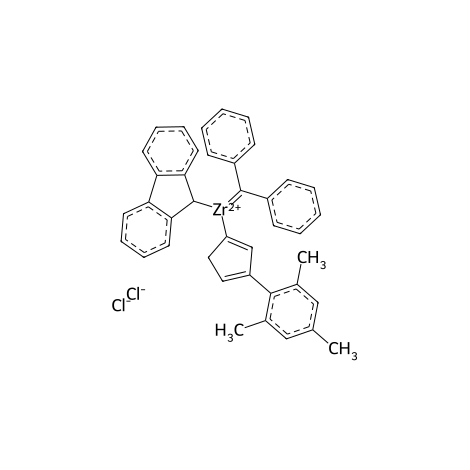 Cc1cc(C)c(C2=CC[C]([Zr+2](=[C](c3ccccc3)c3ccccc3)[CH]3c4ccccc4-c4ccccc43)=C2)c(C)c1.[Cl-].[Cl-]